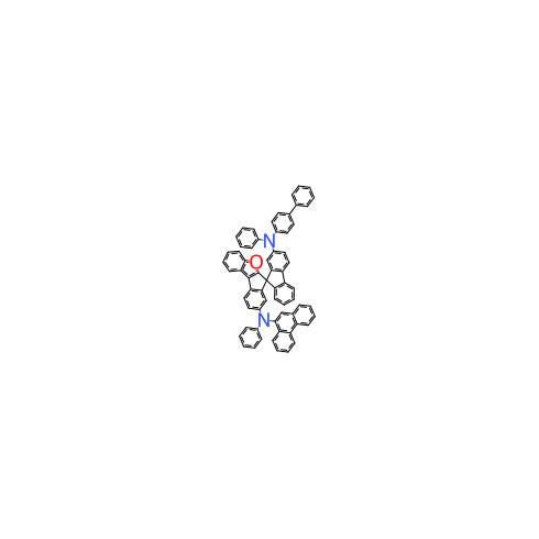 c1ccc(-c2ccc(N(c3ccccc3)c3ccc4c(c3)C3(c5ccccc5-4)c4cc(N(c5ccccc5)c5cc6ccccc6c6ccccc56)ccc4-c4c3oc3ccccc43)cc2)cc1